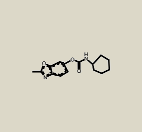 Cc1nc2ccc(OC(=O)NC3CCCCC3)cc2o1